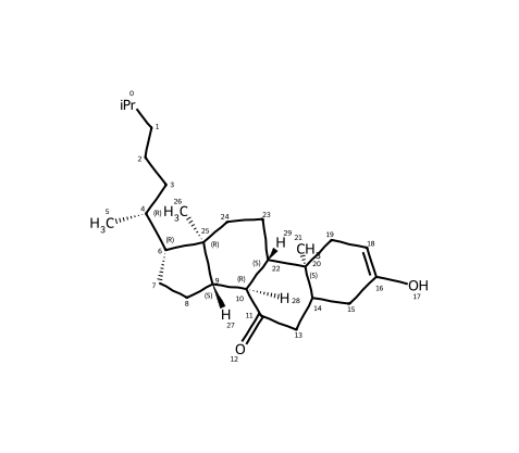 CC(C)CCC[C@@H](C)[C@H]1CC[C@H]2[C@@H]3C(=O)CC4CC(O)=CC[C@]4(C)[C@H]3CC[C@]12C